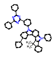 CC1(C)c2ccccc2-c2c1c1c3c4cc(-c5ccccc5)ccc4n(-c4cccc(-c5nc(-c6ccccc6)nc(-c6ccccc6)n5)c4)c3ccc1n2-c1ccccc1